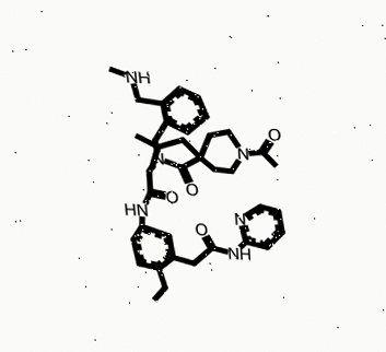 CCc1ccc(NC(=O)CN(Cc2ccccc2CNC)C(=O)C2(CC(C)C)CCN(C(C)=O)CC2)cc1CC(=O)Nc1ccccn1